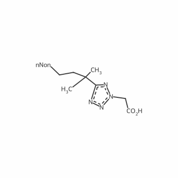 CCCCCCCCCCCC(C)(C)c1nnn(CC(=O)O)n1